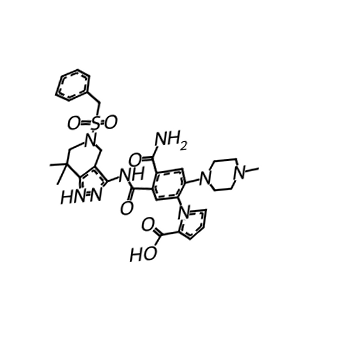 CN1CCN(c2cc(C(N)=O)c(C(=O)Nc3n[nH]c4c3CN(S(=O)(=O)Cc3ccccc3)CC4(C)C)cc2-n2cccc2C(=O)O)CC1